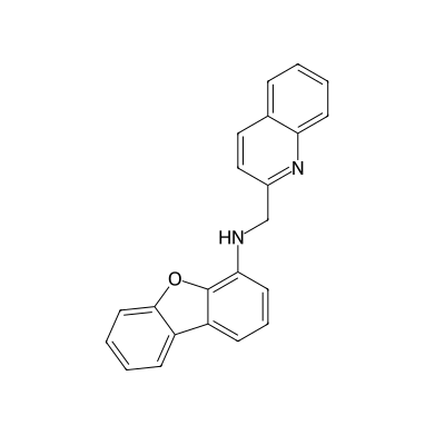 c1ccc2nc(CNc3cccc4c3oc3ccccc34)ccc2c1